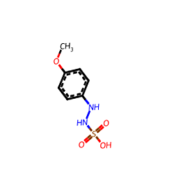 COc1ccc(NNS(=O)(=O)O)cc1